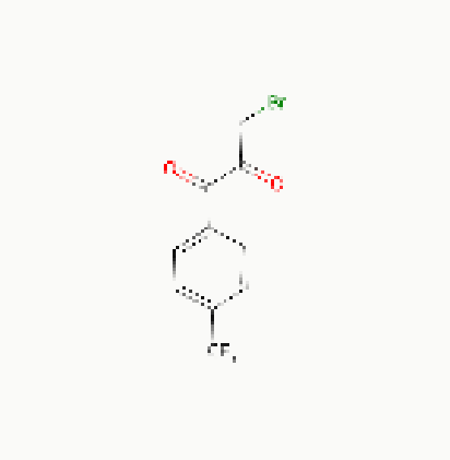 O=C(CBr)C(=O)c1ccc(C(F)(F)F)cc1